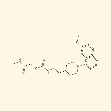 CNC(=O)COC(=O)NCCC1CCN(c2nccc3ccc(OC)cc23)CC1